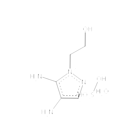 Nc1cnn(CCO)c1N.O.O=S(=O)(O)O